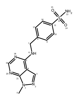 Cn1ncc2c(NCc3ccc(S(N)(=O)=O)cc3)ncnc21